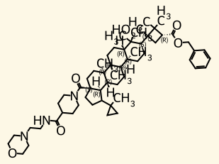 CC1(C2CC[C@]3(C(=O)N4CCC(C(=O)NCCN5CCOCC5)CC4)CC[C@]4(C)[C@H](CC[C@@H]5[C@]6(C)CC[C@H]([C@@]7(C(=O)O)C[C@@H](C(=O)OCc8ccccc8)C7(C)C)C(C)(C)[C@H]6CC[C@]54C)[C@@H]23)CC1